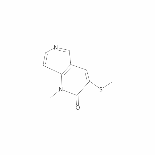 CSc1cc2cnccc2n(C)c1=O